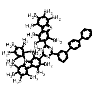 Bc1c(B)c(B)c(-n2c3c(B)c(B)c(B)c(B)c3c3c(B)c(B)c(-c4nc(-c5cccc(-c6ccc(-c7ccccc7)cc6)c5)nc(-c5c(B)c(B)c6c(sc7c(B)c(B)c(B)c(B)c76)c5B)n4)c(B)c32)c(B)c1B